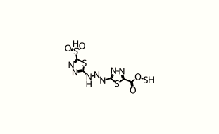 O=C(OS)c1nnc(N=NNc2nnc([SH](=O)=O)s2)s1